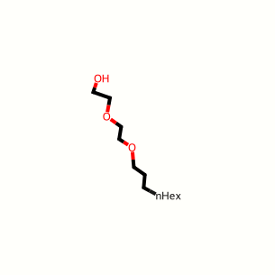 CCCCCCCCCOCCOCCO